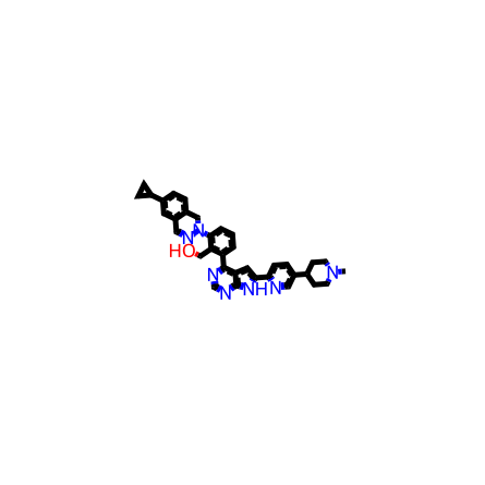 CN1CCC(c2ccc(-c3cc4c(-c5cccc(N6Cc7ccc(C8CC8)cc7C=N6)c5CO)ncnc4[nH]3)nc2)CC1